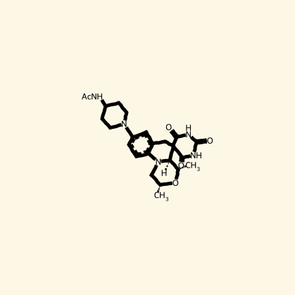 CC(=O)NC1CCN(c2ccc3c(c2)CC2(C(=O)NC(=O)NC2=O)[C@H]2[C@H](C)O[C@H](C)CN32)CC1